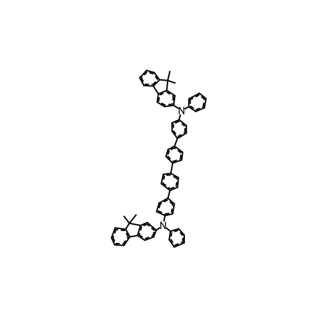 CC1(C)c2ccccc2-c2ccc(N(c3ccccc3)c3ccc(-c4ccc(-c5ccc(-c6ccc(N(c7ccccc7)c7ccc8c(c7)C(C)(C)c7ccccc7-8)cc6)cc5)cc4)cc3)cc21